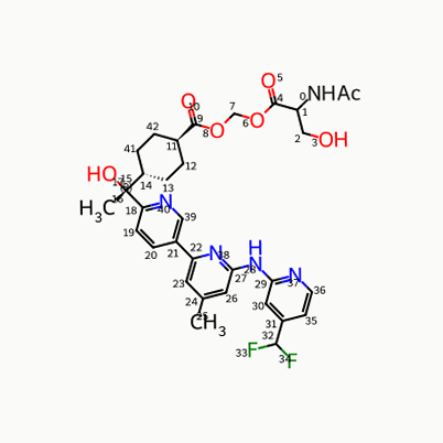 CC(=O)NC(CO)C(=O)OCOC(=O)[C@H]1CC[C@H]([C@@](C)(O)c2ccc(-c3cc(C)cc(Nc4cc(C(F)F)ccn4)n3)cn2)CC1